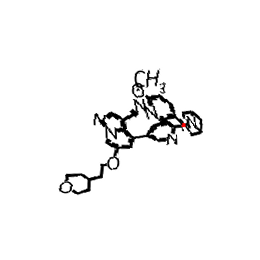 COc1ccc(CN2C3CC2CN(c2ccc(-c4cc(OCCC5CCOCC5)cn5ncc(C#N)c45)cn2)C3)cn1